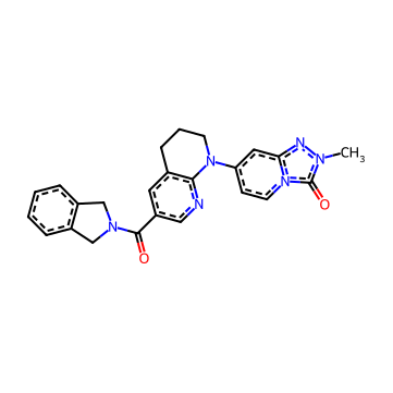 Cn1nc2cc(N3CCCc4cc(C(=O)N5Cc6ccccc6C5)cnc43)ccn2c1=O